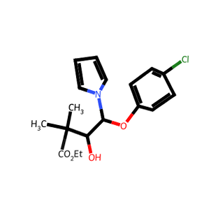 CCOC(=O)C(C)(C)C(O)C(Oc1ccc(Cl)cc1)n1cccc1